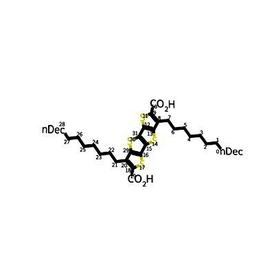 CCCCCCCCCCCCCCCCCc1c(C(=O)O)sc2c1sc1c3sc(C(=O)O)c(CCCCCCCCCCCCCCCCC)c3sc21